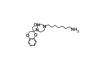 NCCCCCCCN1CCN(C2(CO)COc3ccccc3O2)CC1